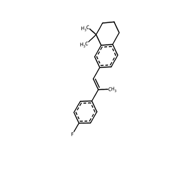 C/C(=C\c1ccc2c(c1)C(C)(C)CCC2)c1ccc(F)cc1